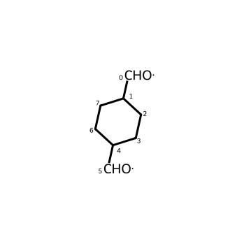 O=[C]C1CCC([C]=O)CC1